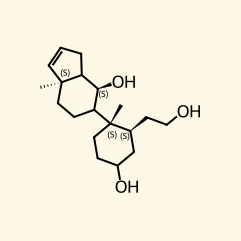 C[C@]12C=CCC1[C@@H](O)C([C@@]1(C)CCC(O)C[C@@H]1CCO)CC2